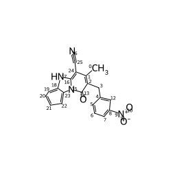 Cc1c(Cc2cccc([N+](=O)[O-])c2)c(=O)n2c([nH]c3ccccc32)c1C#N